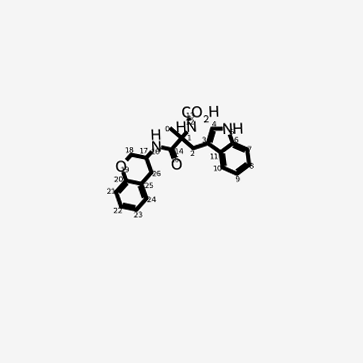 CC(Cc1c[nH]c2ccccc12)(NC(=O)O)C(=O)NC1COc2ccccc2C1